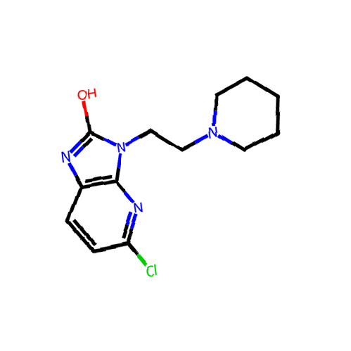 Oc1nc2ccc(Cl)nc2n1CCN1CCCCC1